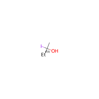 CC[C@@](C)(O)I